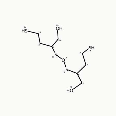 OCC(CCS)SOSC(CO)CCS